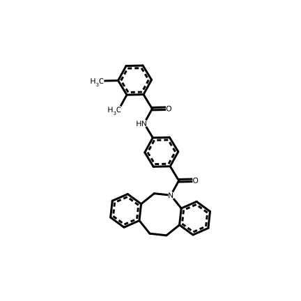 Cc1cccc(C(=O)Nc2ccc(C(=O)N3Cc4ccccc4CCc4ccccc43)cc2)c1C